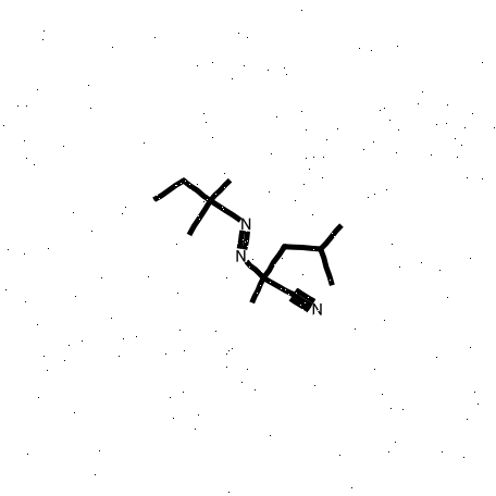 CCC(C)(C)N=NC(C)(C#N)CC(C)C